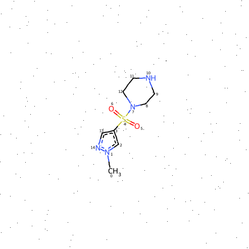 Cn1cc(S(=O)(=O)N2CCNCC2)cn1